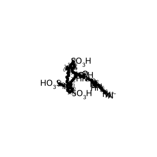 CC1(C)C(/C=C/C=C/C=C2/N(CCCS(=O)(=O)O)c3ccc(S(=O)(=O)O)cc3C2(C)CCCCS(=O)(=O)O)=[N+](CCCCCC(=O)NCCCn2cc(CNCCCN=[N+]=[N-])nn2)c2ccc(S(=O)(=O)O)cc21